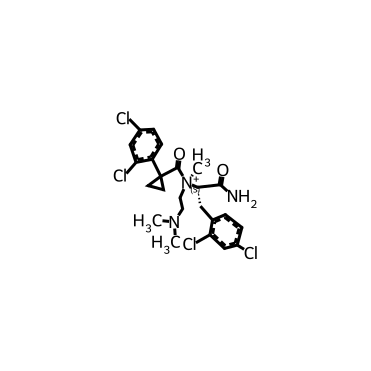 CN(C)CC[N+](C)(C(=O)C1(c2ccc(Cl)cc2Cl)CC1)[C@@H](Cc1ccc(Cl)cc1Cl)C(N)=O